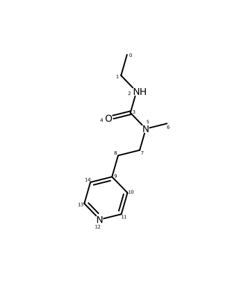 CCNC(=O)N(C)CCc1ccncc1